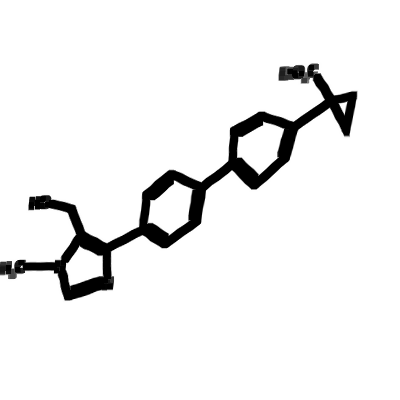 CCOC(=O)C1(c2ccc(-c3ccc(-c4ncn(C)c4CO)cc3)cc2)CC1